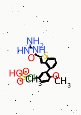 COc1ccc(Cl)cc1-c1cccc2sc(C(=O)NC(=N)N)cc12.CS(=O)(=O)O